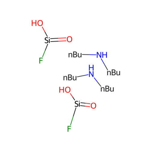 CCCCNCCCC.CCCCNCCCC.O=[Si](O)F.O=[Si](O)F